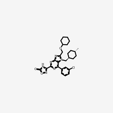 C[C@H]1CC[C@H](Cn2c(COC3CCCCC3)nc3nc(-c4noc(=O)[nH]4)nc(-c4cccc(Cl)c4)c32)CC1